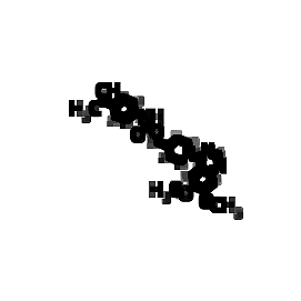 COc1cc2ncnc(N3CCC(COC(=O)Nc4ccc(C(C)C)cc4)CC3)c2cc1OC